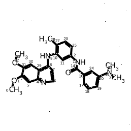 COc1cc2nccc(Nc3cc(NC(=O)c4cccc(N(C)C)c4)ccc3C)c2cc1OC